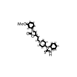 COc1cccc(N2CC(CCN3CCC(n4c(=S)[nH]c5ccccc54)CC3)OC2=O)c1